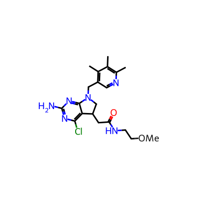 COCCNC(=O)CC1CN(Cc2cnc(C)c(C)c2C)c2nc(N)nc(Cl)c21